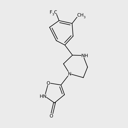 Cc1cc(C2CN(c3cc(=O)[nH]o3)CCN2)ccc1C(F)(F)F